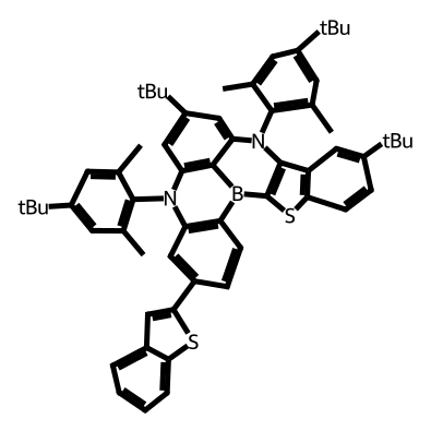 Cc1cc(C(C)(C)C)cc(C)c1N1c2cc(-c3cc4ccccc4s3)ccc2B2c3sc4ccc(C(C)(C)C)cc4c3N(c3c(C)cc(C(C)(C)C)cc3C)c3cc(C(C)(C)C)cc1c32